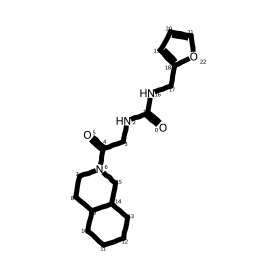 O=C(NCC(=O)N1CCC2CCCCC2C1)NCc1ccco1